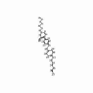 CCCCCCCc1ccc(-c2ccc(CCC3CCC(CCCCCCC)CC3)cc2)c(F)c1